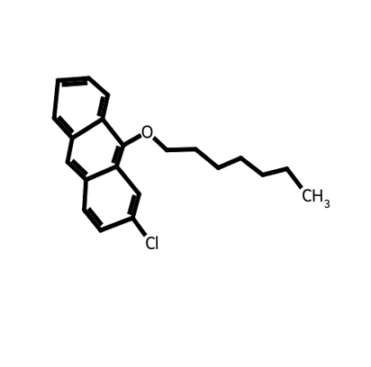 CCCCCCCOc1c2ccccc2cc2ccc(Cl)cc12